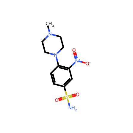 CN1CCN(c2ccc(S(N)(=O)=O)cc2[N+](=O)[O-])CC1